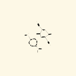 N#CC1=CC(=O)C(C#N)=CC1=O.O=[N+]([O-])c1ccc([N+](=O)[O-])cc1